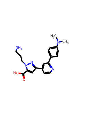 CN(C)c1ccc(-c2cc(-c3cc(C(=O)O)n(CCCN)n3)ccn2)cc1